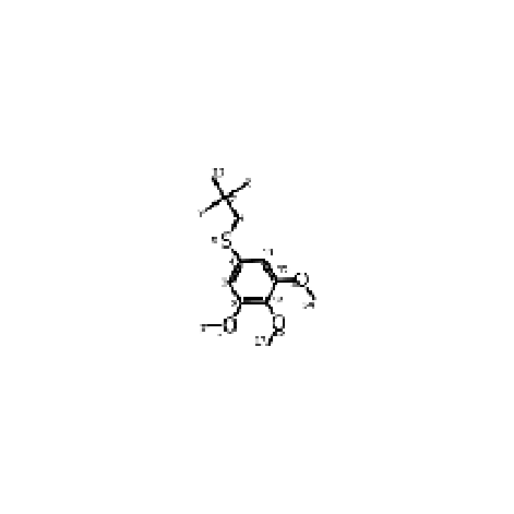 COc1cc(SCC(C)(C)C)cc(OC)c1OC